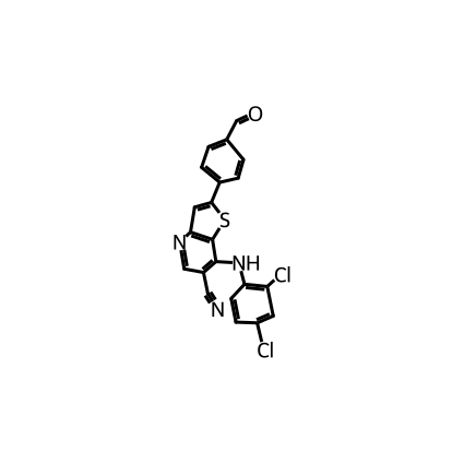 N#Cc1cnc2cc(-c3ccc(C=O)cc3)sc2c1Nc1ccc(Cl)cc1Cl